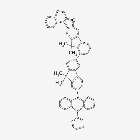 CC1(C)c2ccc(-c3cccc4c3C(C)(C)c3cc5c(cc3-4)oc3ccc4ccccc4c35)cc2-c2ccc(-c3c4ccccc4c(-c4ccccc4)c4ccccc34)cc21